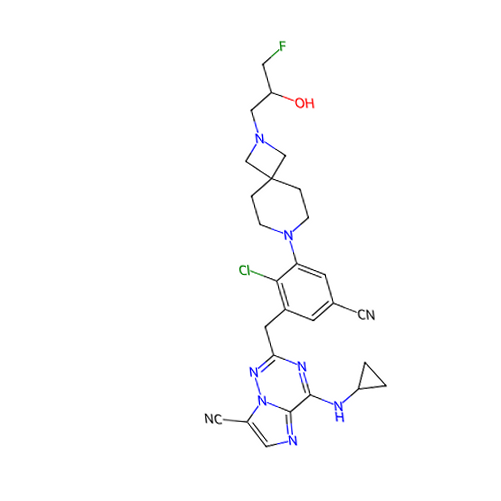 N#Cc1cc(Cc2nc(NC3CC3)c3ncc(C#N)n3n2)c(Cl)c(N2CCC3(CC2)CN(CC(O)CF)C3)c1